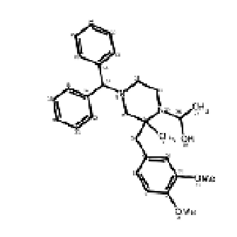 COc1ccc(CC2(C)CN(C(c3ccccc3)c3ccccc3)CCN2C(C)O)cc1OC